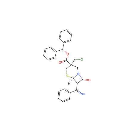 N=C(c1ccccc1)C1C(=O)N2CC(CCl)(C(=O)OC(c3ccccc3)c3ccccc3)CS[C@H]12